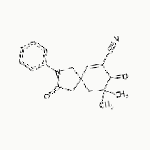 CC1(C)CC2(C=C(C#N)C1=O)CC(=O)N(c1ccccc1)C2